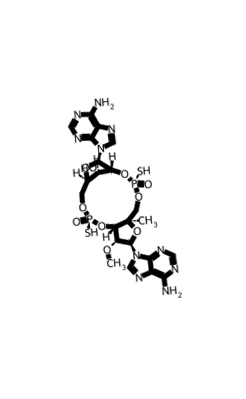 CO[C@H]1[C@H](n2cnc3c(N)ncnc32)O[C@]2(C)CO[P@@](=O)(S)O[C@@H]3[C@H](O)[C@@H](CO[P@](=O)(S)O[C@@H]12)O[C@H]3n1cnc2c(N)ncnc21